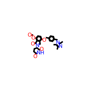 Cc1nc(C)n(Cc2ccc(COc3ccc(OC=O)c4c3CN(C3CCC(=O)NC3=O)C4=O)cc2)c1C